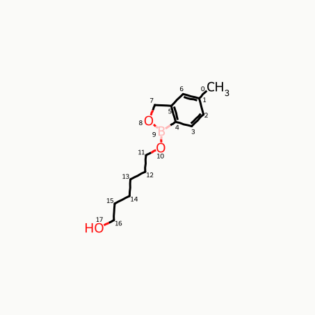 Cc1ccc2c(c1)COB2OCCCCCCO